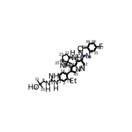 CCc1cc(NC(=N)NCC(C)(C)O)ccc1-c1cc2c(N[C@@H]3CC[C@](C)(N)C3(C)C)c(/C(N)=N/c3cc(F)ccc3Cl)cnn2c1